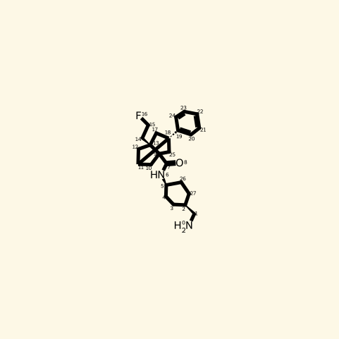 NC[C@H]1CC[C@@H](NC(=O)C23CC4C[C@]2(CCF)C[C@@]4(c2ccccc2)C3)CC1